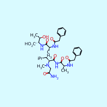 CC(C)C[C@@H](C(=O)NC(=O)[C@H](C)NC(=O)Cc1ccccc1)N(C)CC(N)=O.C[C@H](NC(=O)Cc1ccccc1)C(=O)N[C@H](C(=O)O)[C@@H](C)O